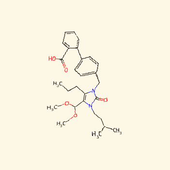 CCCc1c(C(OC)OC)n(CCC(C)C)c(=O)n1Cc1ccc(-c2ccccc2C(=O)O)cc1